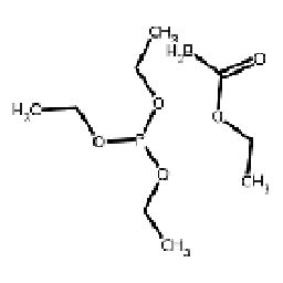 BC(=O)OCC.CCOP(OCC)OCC